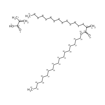 C=C(C)C(=O)O.C=C(CCCCCCCCCCCCCC)C(=O)OCCCCCCCCCCCCCCCCCC